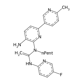 C=C(Nc1ccc(F)cn1)N(CCCCC)c1nc(-c2ccc(C)nc2)ccc1N